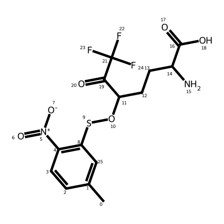 Cc1ccc([N+](=O)[O-])c(SOC(CCC(N)C(=O)O)C(=O)C(F)(F)F)c1